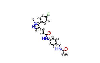 CCCC(=O)NCc1ccc(NC(=O)C=Cc2cnn(C)c2-c2ccc(F)cc2)cc1